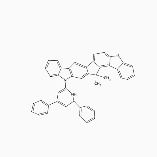 CC1(C)c2cc3c(cc2-c2ccc4sc5ccccc5c4c21)c1ccccc1n3C1=CC(c2ccccc2)=CC(c2ccccc2)N1